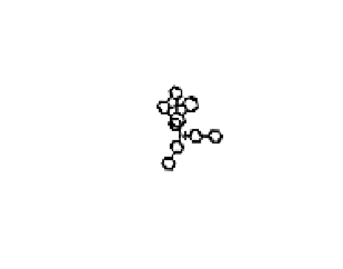 C1#CCC2=C(C=C1)C1=C(CC#CC=C1)C21c2ccccc2-c2cccc(-c3ccc(N(c4ccc(-c5ccccc5)cc4)c4ccc(-c5ccccc5)cc4)cc3)c21